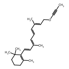 CC#COCC=C(C)C=CC=C(C)C=CC1=C(C)CCCC1(C)C